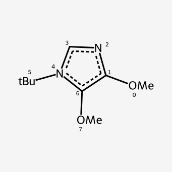 COc1ncn(C(C)(C)C)c1OC